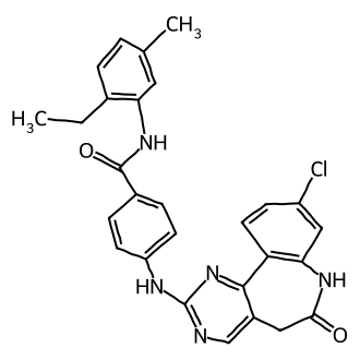 CCc1ccc(C)cc1NC(=O)c1ccc(Nc2ncc3c(n2)-c2ccc(Cl)cc2NC(=O)C3)cc1